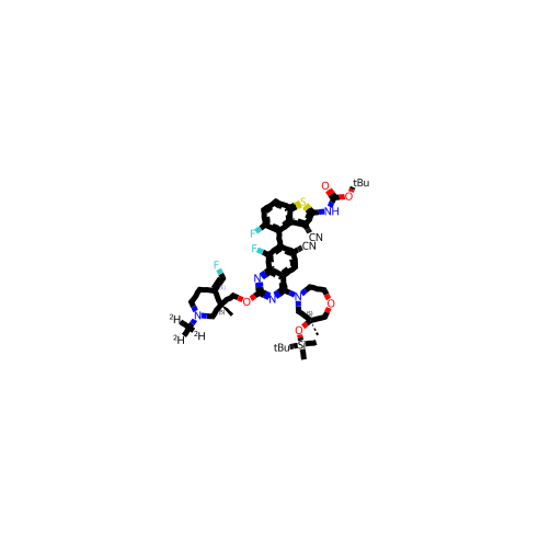 [2H]C([2H])([2H])N1CC/C(=C\F)[C@](C)(COc2nc(N3CCOC[C@@](C)(O[Si](C)(C)C(C)(C)C)C3)c3cc(C#N)c(-c4c(F)ccc5sc(NC(=O)OC(C)(C)C)c(C#N)c45)c(F)c3n2)C1